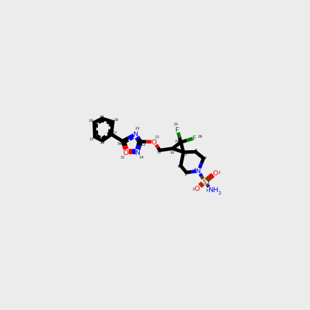 NS(=O)(=O)N1CCC2(CC1)C(COc1noc(-c3ccccc3)n1)C2(F)F